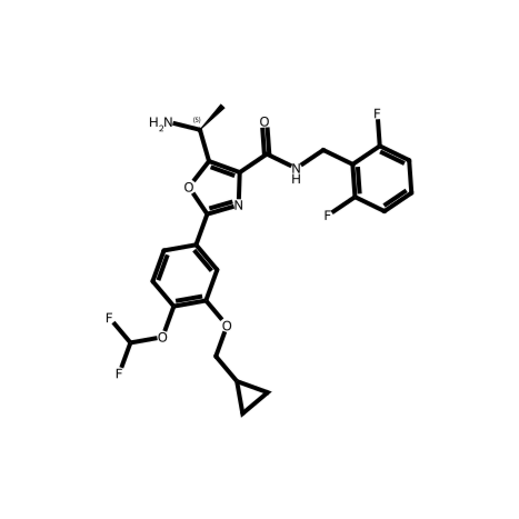 C[C@H](N)c1oc(-c2ccc(OC(F)F)c(OCC3CC3)c2)nc1C(=O)NCc1c(F)cccc1F